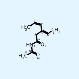 C/C=C\C(=C/C)CC(=O)NC(C)=O